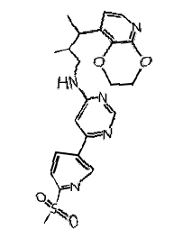 CC(CNc1cc(-c2ccc(S(C)(=O)=O)nc2)ncn1)C(C)c1ccnc2c1OCCO2